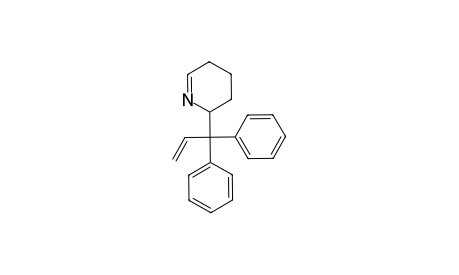 C=CC(c1ccccc1)(c1ccccc1)C1CCCC=N1